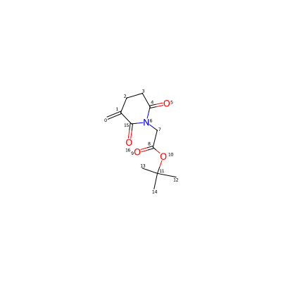 C=C1CCC(=O)N(CC(=O)OC(C)(C)C)C1=O